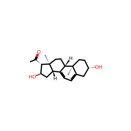 CC(=O)[C@H]1[C@H](O)C[C@H]2C3=CC=C4C[C@@H](O)CC[C@]4(C)[C@H]3CC[C@@]21C